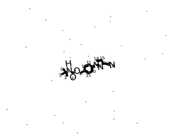 CC(C)(C)NC(=O)OCc1ccc(-n2ccc(C#N)n2)cc1